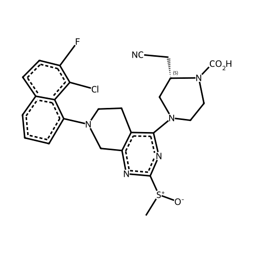 C[S+]([O-])c1nc2c(c(N3CCN(C(=O)O)[C@@H](CC#N)C3)n1)CCN(c1cccc3ccc(F)c(Cl)c13)C2